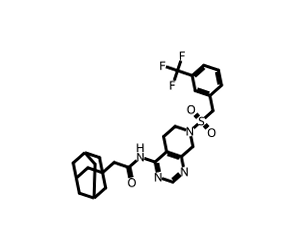 O=C(CC12CC3CC(CC(C3)C1)C2)Nc1ncnc2c1CCN(S(=O)(=O)Cc1cccc(C(F)(F)F)c1)C2